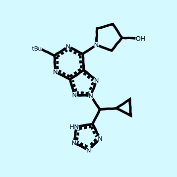 CC(C)(C)c1nc(N2CCC(O)C2)c2nn(C(c3nnn[nH]3)C3CC3)nc2n1